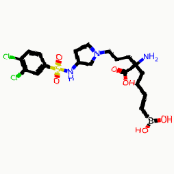 NC(CCCCB(O)O)(CCCN1CCC(NS(=O)(=O)c2ccc(Cl)c(Cl)c2)C1)C(=O)O